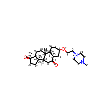 CN1CCN(CCOC2CC[C@@]3(C)C(C2)C(=O)C[C@@H]2[C@H]3CC[C@]3(C)C(=O)CC[C@@H]23)CC1